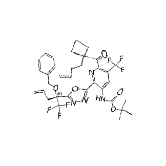 C=CCCC1(C(=O)c2nc(-c3nnc([C@@](CC=C)(OCc4ccccc4)C(F)(F)F)o3)c(NC(=O)OC(C)(C)C)cc2C(F)(F)F)CCC1